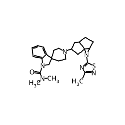 Cc1nsc(N2C3CCC4CC(N5CCC6(CC5)CN(C(=O)N(C)C)c5ccccc56)CC432)n1